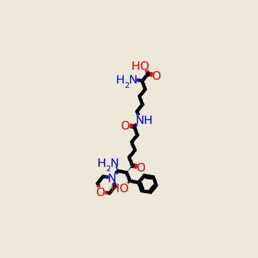 NC(CCCCNC(=O)CCCCC(=O)[C@H]([C@H](O)c1ccccc1)[C@@H](N)N1CCOCC1)C(=O)O